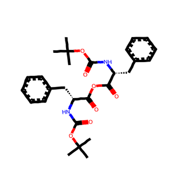 CC(C)(C)OC(=O)N[C@H](Cc1ccccc1)C(=O)OC(=O)[C@@H](Cc1ccccc1)NC(=O)OC(C)(C)C